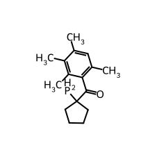 Cc1cc(C)c(C(=O)C2(P)CCCC2)c(C)c1C